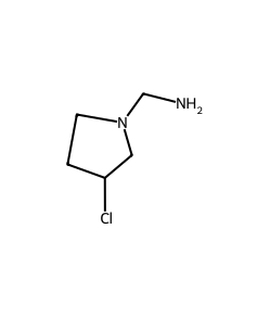 NCN1CCC(Cl)C1